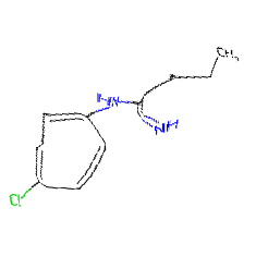 CCCC(=N)Nc1ccc(Cl)cc1